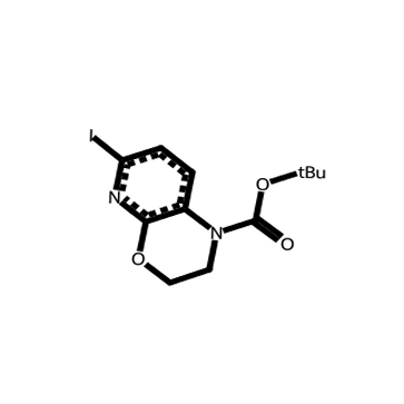 CC(C)(C)OC(=O)N1CCOc2nc(I)ccc21